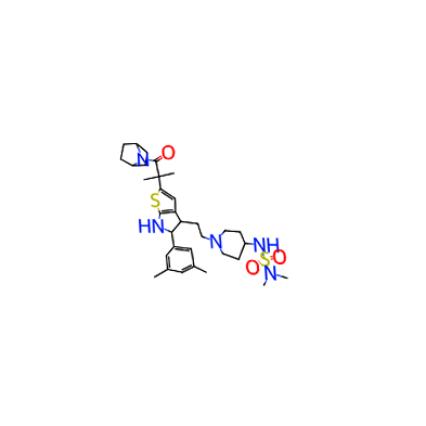 Cc1cc(C)cc(C2Nc3sc(C(C)(C)C(=O)N4C5CCC4CC5)cc3C2CCN2CCC(NS(=O)(=O)N(C)C)CC2)c1